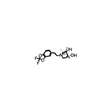 C[C@@H]1[C@@H](O)[C@H](O)CCN1CCc1ccc2c(c1)OC(F)(F)O2